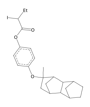 CCC(I)C(=O)Oc1ccc(OC2(C)CC3CC2C2C4CCC(C4)C32)cc1